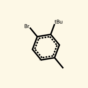 Cc1[c]cc(Br)c(C(C)(C)C)c1